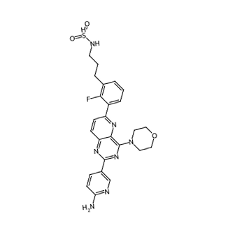 Nc1ccc(-c2nc(N3CCOCC3)c3nc(-c4cccc(CCCN[SH](=O)=O)c4F)ccc3n2)cn1